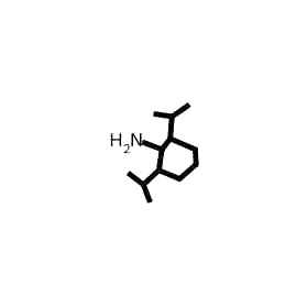 CC(C)C1CCCC(C(C)C)C1N